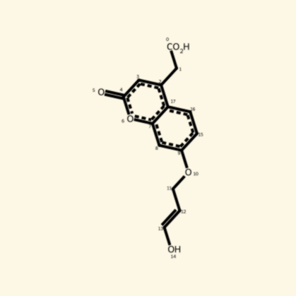 O=C(O)Cc1cc(=O)oc2cc(OC/C=C/O)ccc12